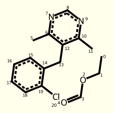 CCOC=O.Cc1ncnc(C)c1Cc1ccccc1Cl